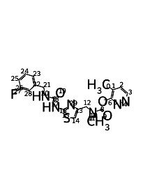 Cc1ccnnc1OC(=O)N(C)Cc1csc(NC(=O)NCc2cccc(F)c2)n1